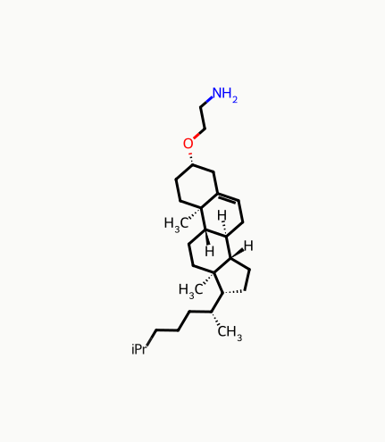 CC(C)CCC[C@@H](C)[C@H]1CC[C@H]2[C@@H]3CC=C4C[C@@H](OCCN)CC[C@]4(C)[C@H]3CC[C@]12C